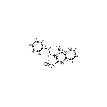 CCSc1nc2cccnc2c(=O)n1CCc1ccccc1